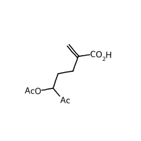 C=C(CCC(OC(C)=O)C(C)=O)C(=O)O